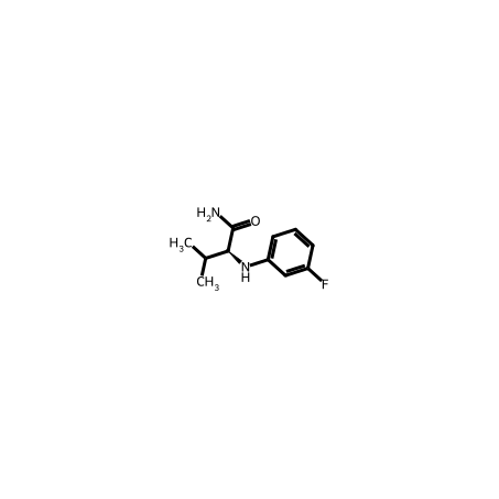 CC(C)[C@H](Nc1cccc(F)c1)C(N)=O